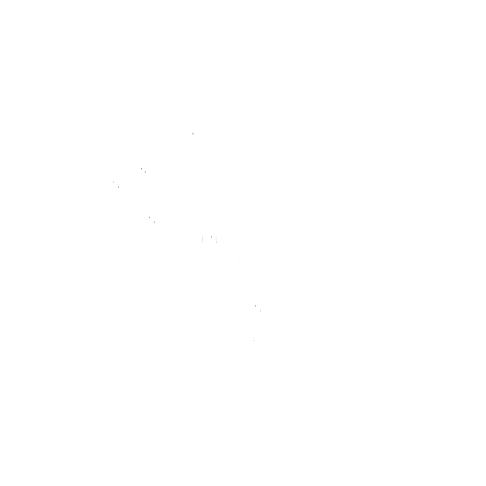 Cc1cc2ccc(=O)n(CC(=O)Nc3scc(Br)c3-c3ncn[nH]3)c2cc1F